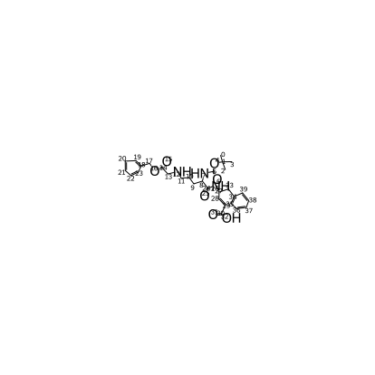 CC(C)(C)OC(=O)NC(CCCNCC(=O)OCc1ccccc1)C(=O)NC(C=CC(=O)O)Cc1ccccc1